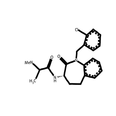 CNC(C)C(=O)N[C@H]1CCc2ccccc2N(Cc2ccccc2Cl)C1=O